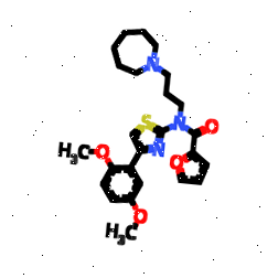 COc1ccc(OC)c(-c2csc(N(CCCN3CCCCCC3)C(=O)c3ccco3)n2)c1